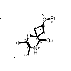 CCOC1CC2(C1)OC(I)=C(C)NC2=O